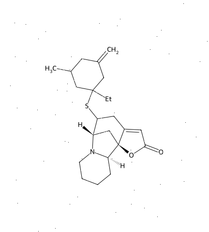 C=C1CC(C)CC(CC)(SC2CC3=CC(=O)O[C@@]34C[C@@H]2N2CCCC[C@@H]24)C1